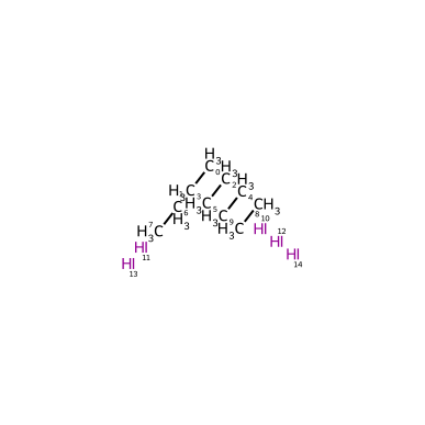 CC.CC.CC.CC.CC.I.I.I.I.I